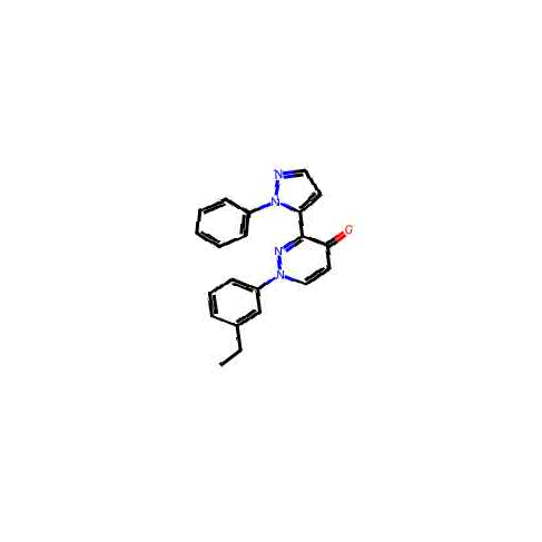 CCc1cccc(-n2ccc(=O)c(-c3ccnn3-c3ccccc3)n2)c1